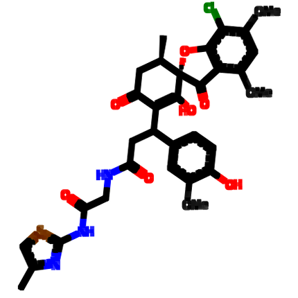 COc1cc(C(CC(=O)NCC(=O)Nc2nc(C)cs2)C2=C(O)[C@@]3(Oc4c(Cl)c(OC)cc(OC)c4C3=O)[C@H](C)CC2=O)ccc1O